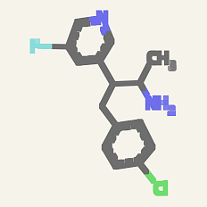 CC(N)C(Cc1ccc(Cl)cc1)c1cncc(F)c1